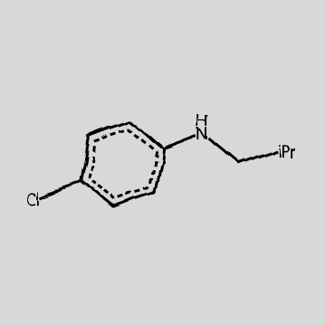 CC(C)CNc1ccc(Cl)cc1